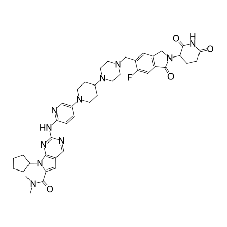 CN(C)C(=O)c1cc2cnc(Nc3ccc(N4CCC(N5CCN(Cc6cc7c(cc6F)C(=O)N(C6CCC(=O)NC6=O)C7)CC5)CC4)cn3)nc2n1C1CCCC1